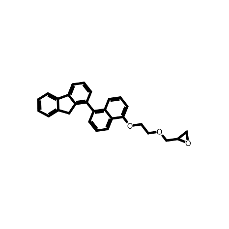 c1ccc2c(c1)Cc1c-2cccc1-c1cccc2c(OCCOCC3CO3)cccc12